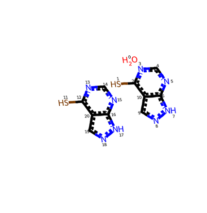 O.Sc1ncnc2[nH]ncc12.Sc1ncnc2[nH]ncc12